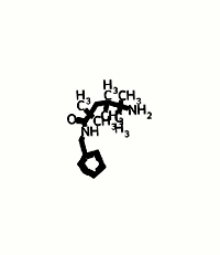 CC(C)(CC(C)(C)C(C)(C)N)C(=O)NCc1ccccc1